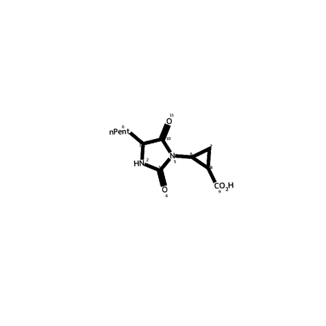 CCCCCC1NC(=O)N(C2CC2C(=O)O)C1=O